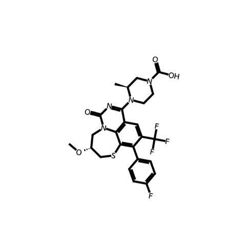 CO[C@H]1CSc2c(-c3ccc(F)cc3)c(C(F)(F)F)cc3c(N4CCN(C(=O)O)C[C@@H]4C)nc(=O)n(c23)C1